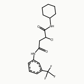 O=C(CC(Cl)C(=O)NC1CCCCC1)Nc1cccc(C(F)(F)F)c1